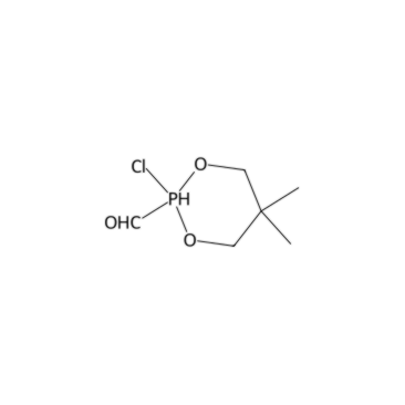 CC1(C)CO[PH](Cl)(C=O)OC1